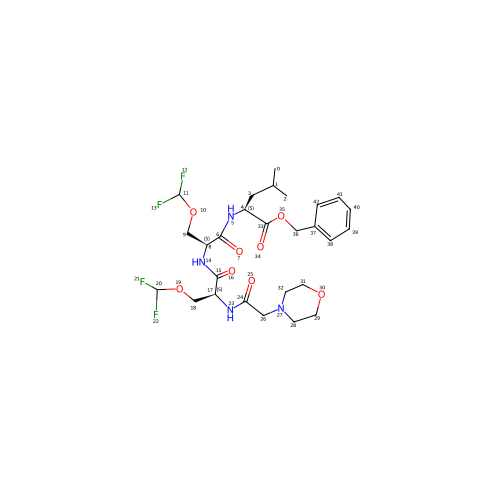 CC(C)C[C@H](NC(=O)[C@H](COC(F)F)NC(=O)[C@H](COC(F)F)NC(=O)CN1CCOCC1)C(=O)OCc1ccccc1